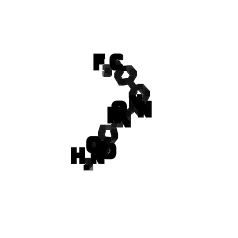 NS(=O)(=O)c1ccc(-c2noc(-c3cnc4ccc(-c5ccc(C(F)(F)F)cc5)cn34)n2)cc1